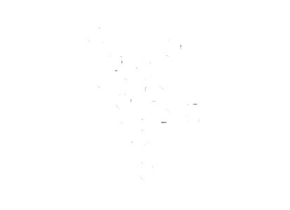 N#Cc1cc(C#N)c(-n2c3ccc(-c4ccccc4)cc3c3cc(-c4ccccc4)ccc32)c(-c2ccccc2)c1-n1c2ccc(-c3ccccc3)cc2c2cc(-c3ccccc3)ccc21